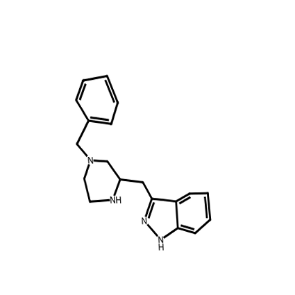 c1ccc(CN2CCNC(Cc3n[nH]c4ccccc34)C2)cc1